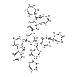 c1ccc(-c2ccc(N(c3ccc(-c4ccccc4)cc3)c3cc(-c4ccc5c(c4)c4ccccc4n5-c4ccccc4)cc(-c4cccc5c4oc4ccccc45)c3)cc2)cc1